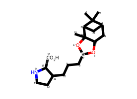 CC1(C)C2CC3OB(CCCC4CCNC4C(=O)O)OC3(C)C1C2